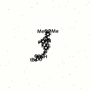 COc1ccc(N(C)c2cnc(SCc3c(F)cc(OCCCNC(=O)OC(=O)OC(C)(C)C)cc3F)n2-c2ccc(F)cc2)cc1OC